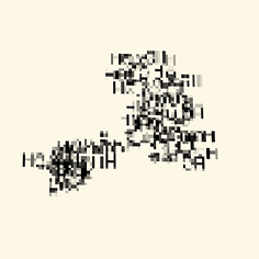 CCCCC1C(CNC(=S)NCCN(CCNC(=S)NCC2O[C@@H]3OC4C(CO)O[C@H](OCCCCC2[C@@H](O)C3O)C(O)[C@@H]4O)CCNC(=S)NC(CC[C@H]2OC(CO)[C@@H](O)[C@H](O)C2O)(CO[C@H]2OC(CO)[C@@H](O)[C@H](O)C2O)CO[C@H]2OC(CO)[C@@H](O)[C@H](O)C2O)O[C@H](O)C(O)[C@@H]1O